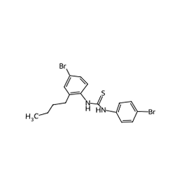 CCCCc1cc(Br)ccc1NC(=S)Nc1ccc(Br)cc1